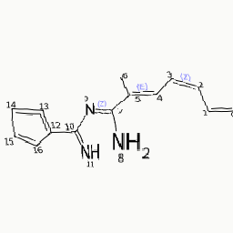 C=C\C=C/C=C(C)/C(N)=N/C(=N)C1=C=CC=C1